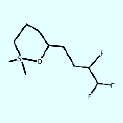 C[Si]1(C)CCCC(CCC(F)C(F)F)O1